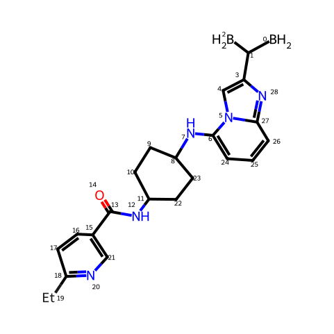 BC(B)c1cn2c(NC3CCC(NC(=O)c4ccc(CC)nc4)CC3)cccc2n1